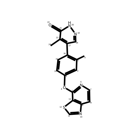 Cc1cc(Oc2nccc3ncsc23)ccc1-c1cn[nH]c(=O)c1C